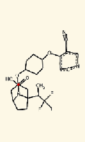 CC(C(F)(F)F)C12CCC(CC(OC3CCC(Oc4ccncc4C#N)CC3)C1)N2C(=O)O